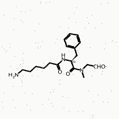 CN(C[C]=O)C(=O)[C@H](Cc1ccccc1)NC(=O)CCCCCN